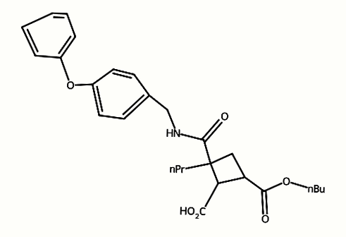 CCCCOC(=O)C1CC(CCC)(C(=O)NCc2ccc(Oc3ccccc3)cc2)C1C(=O)O